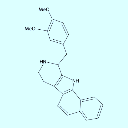 COc1ccc(CC2NCCc3c2[nH]c2c3ccc3ccccc32)cc1OC